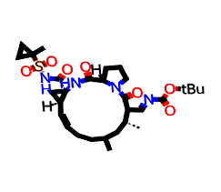 CC1CC/C=C\[C@H]2C[C@@]2(C(=O)NS(=O)(=O)C2(C)CC2)NC(=O)[C@@H]2CCCN2C(=O)C(C=NC(=O)OC(C)(C)C)[C@H](C)C1